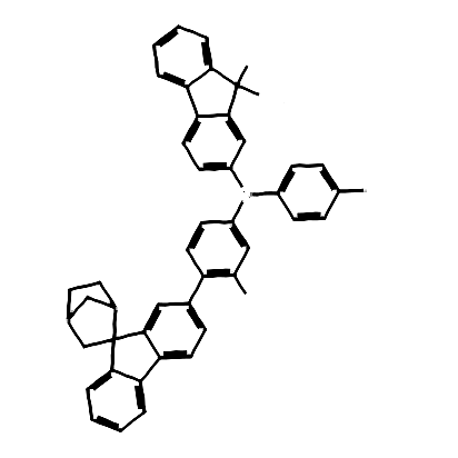 Cc1ccc(N(c2ccc(-c3ccc4c(c3)C3(CC5CCC3C5)c3ccccc3-4)c(C)c2)c2ccc3c(c2)C(C)(C)c2ccccc2-3)cc1